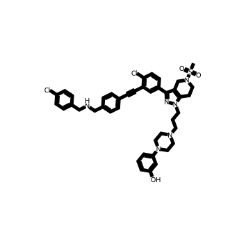 CS(=O)(=O)N1CCc2c(c(-c3ccc(Cl)c(C#Cc4ccc(CNCc5ccc(Cl)cc5)cc4)c3)nn2CCCN2CCN(c3cccc(O)c3)CC2)C1